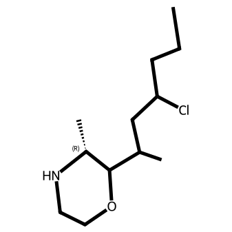 CCCC(Cl)CC(C)C1OCCN[C@@H]1C